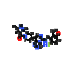 Cc1cc(C(=O)N2CC=C(c3cnc(NCc4c(F)ccc5c4CCO5)n4cnnc34)CC2)n(C)n1